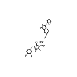 Cc1c(C(=O)NCC=Cc2ccc3c(-c4ccco4)n[nH]c3c2)c(=O)n(Cc2ccc(F)c(F)c2)n1C